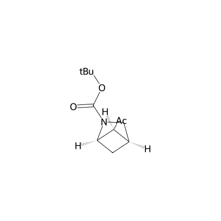 CC(=O)[C@H]1[C@@H]2C[C@H]1N(C(=O)OC(C)(C)C)C2